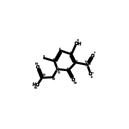 Cc1cc(O)c([N+](=O)[O-])c(=O)n1CC(=O)O